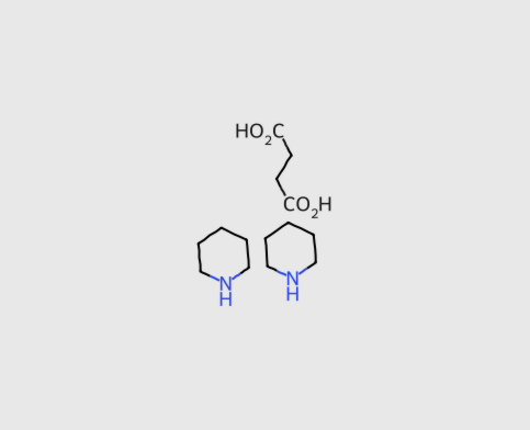 C1CCNCC1.C1CCNCC1.O=C(O)CCC(=O)O